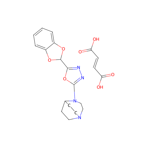 O=C(O)/C=C/C(=O)O.c1ccc2c(c1)OC(c1nnc(N3CCN4CCC3CC4)o1)O2